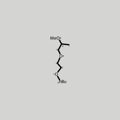 CCCCOCCOCC(C)OC